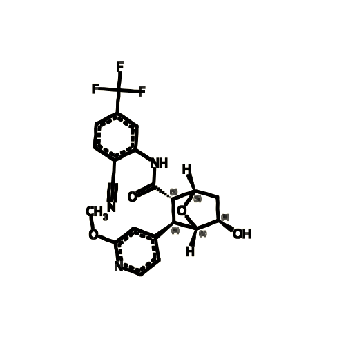 COc1cc([C@@H]2[C@@H]3O[C@@H](C[C@H]3O)[C@H]2C(=O)Nc2cc(C(F)(F)F)ccc2C#N)ccn1